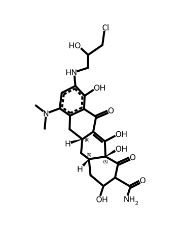 CN(C)c1cc(NCC(O)CCl)c(O)c2c1C[C@H]1C[C@H]3CC(O)C(C(N)=O)C(=O)[C@@]3(O)C(O)=C1C2=O